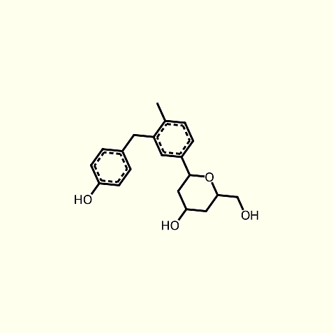 Cc1ccc(C2CC(O)CC(CO)O2)cc1Cc1ccc(O)cc1